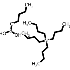 CCCCOB(O)O.CCCC[N+](CCCC)(CCCC)CCCC